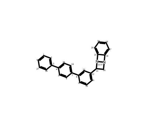 c1ccc(-c2ccc(-c3cccc(C4Cn5c6ccccc6n54)c3)cc2)cc1